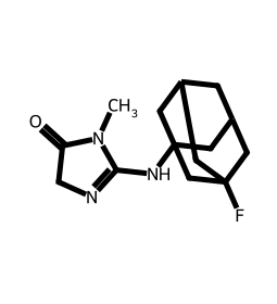 CN1C(=O)CN=C1NC12CC3CC(CC(F)(C3)C1)C2